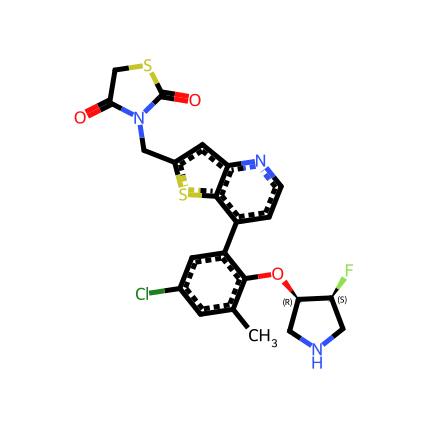 Cc1cc(Cl)cc(-c2ccnc3cc(CN4C(=O)CSC4=O)sc23)c1O[C@@H]1CNC[C@@H]1F